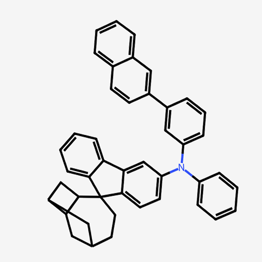 c1ccc(N(c2cccc(-c3ccc4ccccc4c3)c2)c2ccc3c(c2)-c2ccccc2C32CCC3CC4CC2C4C3)cc1